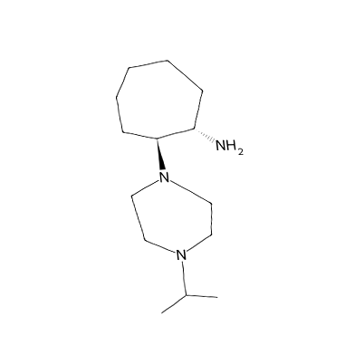 CC(C)N1CCN([C@H]2CCCCC[C@@H]2N)CC1